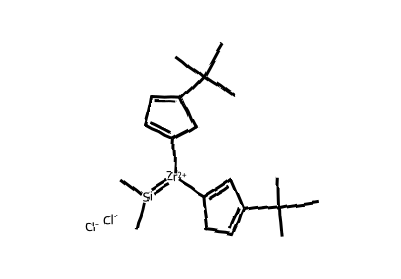 C[Si](C)=[Zr+2]([C]1=CC(C(C)(C)C)=CC1)[C]1=CC=C(C(C)(C)C)C1.[Cl-].[Cl-]